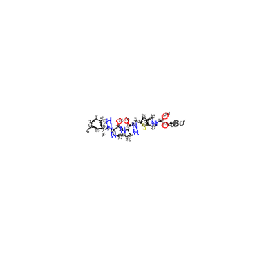 Cc1ccc(C)c([C@@H](C)Nc2ncc3n(c2=O)[C@H](C(=O)NCc2cc4c(s2)CN(C(=O)OC(C)(C)C)C4)CC3)c1